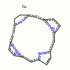 C1=Cc2cc3ccc(cc4nc(cc5ccc(cc1n2)[nH]5)CC4)[nH]3.[Cu]